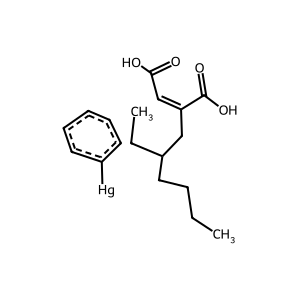 CCCCC(CC)CC(=CC(=O)O)C(=O)O.[Hg][c]1ccccc1